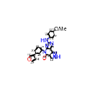 COc1ccc(Nc2ncc3c4n[nH]cc4c(=O)n(-c4cccc(-c5ccoc5)c4)c3n2)cc1